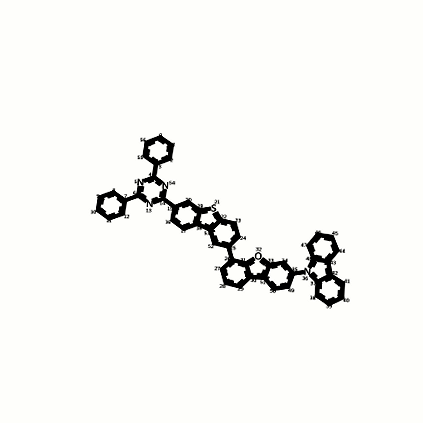 c1ccc(-c2nc(-c3ccccc3)nc(-c3ccc4c(c3)sc3ccc(-c5cccc6c5oc5cc(-n7c8ccccc8c8ccccc87)ccc56)cc34)n2)cc1